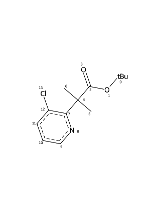 CC(C)(C)OC(=O)C(C)(C)c1ncccc1Cl